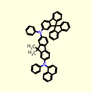 CC1(C)c2cc(N(c3ccccc3)c3ccc4c(c3)C3(c5ccccc5-c5ccccc53)c3ccccc3-4)ccc2-c2ccc(N(c3ccccc3)c3cccc4ccccc34)cc21